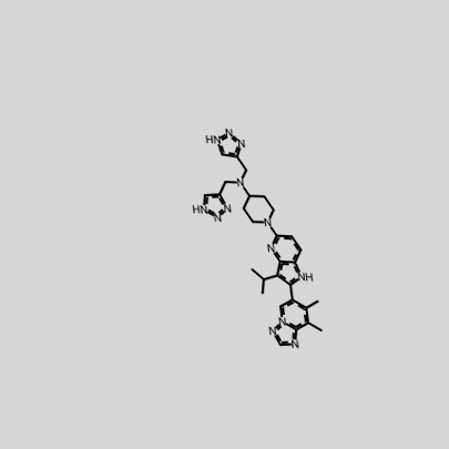 Cc1c(-c2[nH]c3ccc(N4CCC(N(Cc5c[nH]nn5)Cc5c[nH]nn5)CC4)nc3c2C(C)C)cn2ncnc2c1C